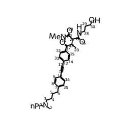 CCCN(C)CCCCc1ccc(C#Cc2ccc(C(=O)C(C)[C@@H](C(=O)NC)C(=O)NCCCO)cc2)cc1